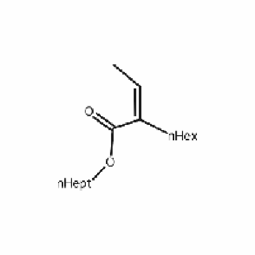 CC=C(CCCCCC)C(=O)OCCCCCCC